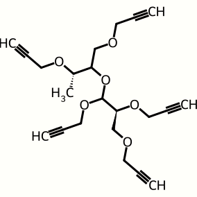 C#CCOCC(OC(OCC#C)[C@H](COCC#C)OCC#C)[C@H](C)OCC#C